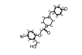 O=C(COc1ccc(Br)cc1CO)N1CCN(Cc2ccc(Cl)cc2)CC1